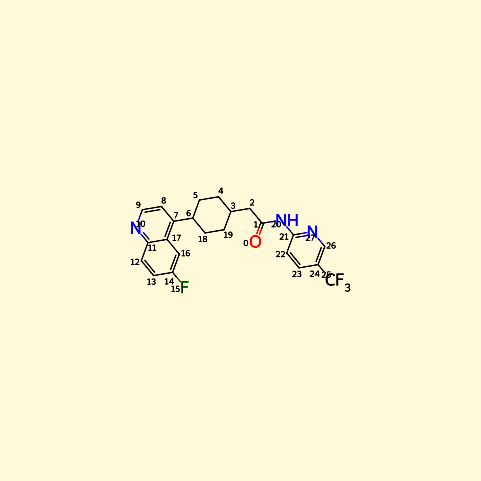 O=C(CC1CCC(c2ccnc3ccc(F)cc23)CC1)Nc1ccc(C(F)(F)F)cn1